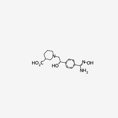 N/C(=N\O)c1ccc([C@@H](O)CN2CCCC(C(=O)O)C2)cc1